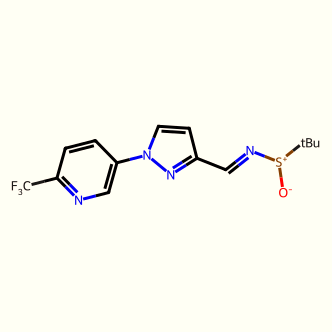 CC(C)(C)[S+]([O-])/N=C/c1ccn(-c2ccc(C(F)(F)F)nc2)n1